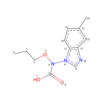 CCCON(C(=O)O)n1cnc2cc(C)ccc21